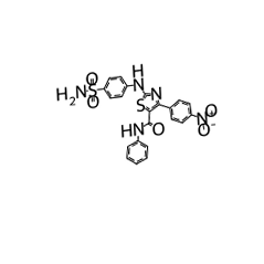 NS(=O)(=O)c1ccc(Nc2nc(-c3ccc([N+](=O)[O-])cc3)c(C(=O)Nc3ccccc3)s2)cc1